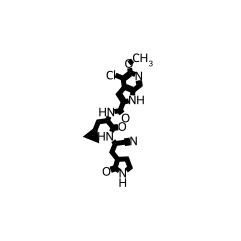 COc1ncc2[nH]c(C(=O)NC(CC3CC3)C(=O)NC(C#N)CC3CCNC3=O)cc2c1Cl